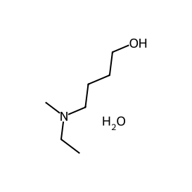 CCN(C)CCCCO.O